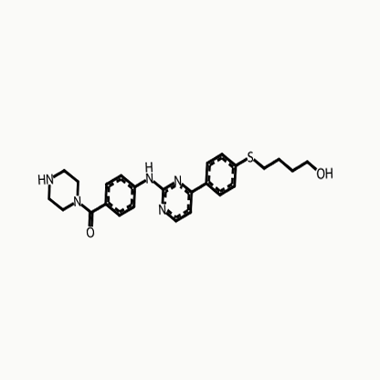 O=C(c1ccc(Nc2nccc(-c3ccc(SCCCCO)cc3)n2)cc1)N1CCNCC1